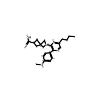 CCCCc1cnc(-c2ccc(OC)cc2)c(N2CC3(CC(C(=O)O)C3)C2)n1